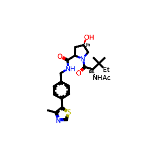 CCC(C)(C)[C@H](NC(C)=O)C(=O)N1C[C@H](O)CC1C(=O)NCc1ccc(-c2scnc2C)cc1